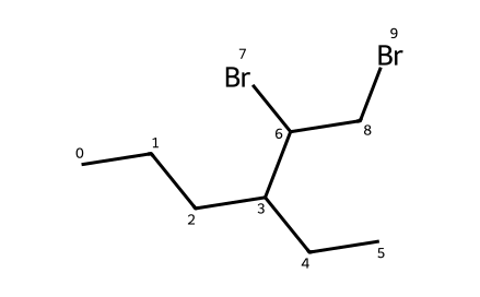 CCCC(CC)C(Br)CBr